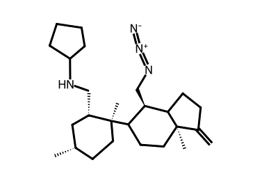 C=C1CCC2[C@H](CN=[N+]=[N-])C([C@@]3(C)CC[C@H](C)C[C@@H]3CNC3CCCC3)CC[C@]12C